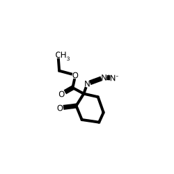 CCOC(=O)C1(N=[N+]=[N-])CCCCC1=O